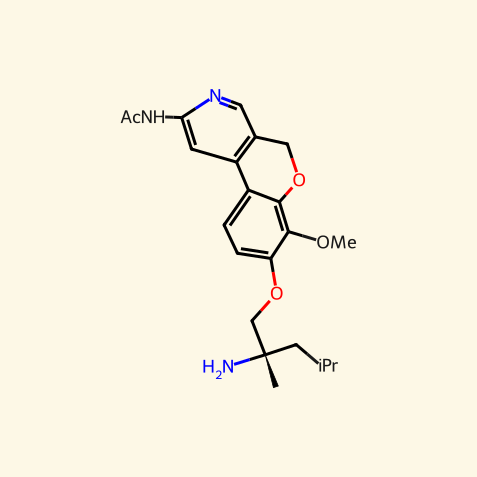 COc1c(OC[C@@](C)(N)CC(C)C)ccc2c1OCc1cnc(NC(C)=O)cc1-2